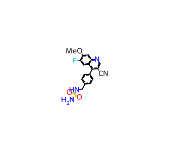 COc1cc2ncc(C#N)c(-c3ccc(CNS(N)(=O)=O)cc3)c2cc1F